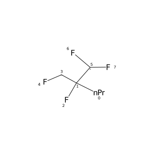 C[CH]CC(F)(CF)[C](F)F